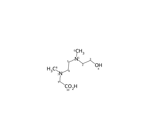 CN(CCO)CCN(C)CC(=O)O